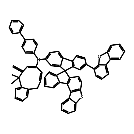 C=C1/C=C(N(c2ccc(-c3ccccc3)cc2)c2ccc3c(c2)C2(c4cc(-c5cccc6c5oc5ccccc56)ccc4-3)c3ccccc3-c3c2ccc2sc4ccccc4c32)\C=C/Cc2ccccc2C1(C)C